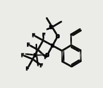 C=Cc1ccccc1[Si](O[Si](C)(C)C)(O[Si](C)(C)C)C(F)(F)C(F)(F)C(F)(F)F